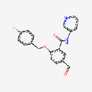 O=Cc1ccc(OCc2ccc(F)cc2)c(C(=O)Nc2cccnc2)c1